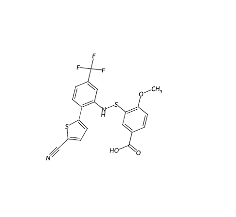 COc1ccc(C(=O)O)cc1SNc1cc(C(F)(F)F)ccc1-c1ccc(C#N)s1